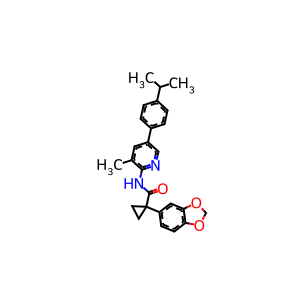 Cc1cc(-c2ccc(C(C)C)cc2)cnc1NC(=O)C1(c2ccc3c(c2)OCO3)CC1